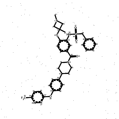 CN1CC(C)(Oc2ccc(C(=O)N3CCC(c4ccc(Oc5ccc(C(F)(F)F)nn5)cc4)CC3)cc2NS(=O)(=O)Cc2ccccc2)C1